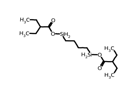 CCC(CC)C(=O)O[SiH2]CCCC[SiH2]OC(=O)C(CC)CC